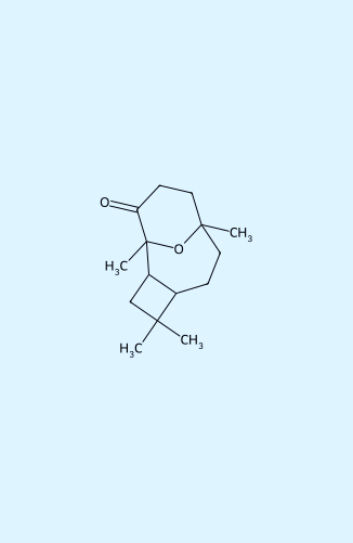 CC12CCC(=O)C(C)(O1)C1CC(C)(C)C1CC2